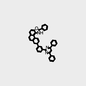 C1=CC(c2cccc(-c3nc(-c4ccccc4)cc(-c4ccccc4)n3)c2)Cc2ccc3ccc4c(c3c21)NC(c1ccccc1)O4